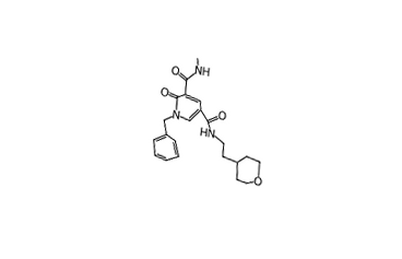 CNC(=O)c1cc(C(=O)NCCC2CCOCC2)cn(Cc2ccccc2)c1=O